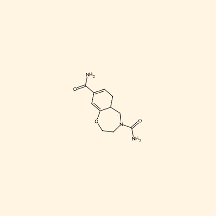 NC(=O)C1=CCC2CN(C(N)=O)CCOC2=C1